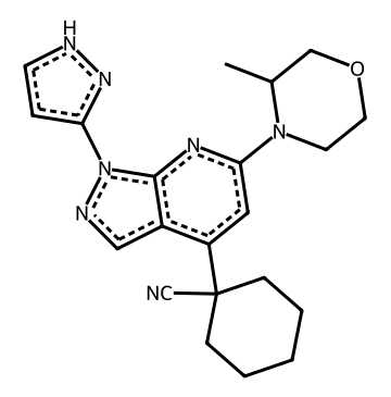 CC1COCCN1c1cc(C2(C#N)CCCCC2)c2cnn(-c3cc[nH]n3)c2n1